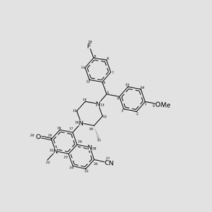 COc1ccc(C(c2ccc(F)cc2)N2CCN(c3cc(=O)n(C)c4ccc(C#N)nc34)[C@@H](C)C2)cc1